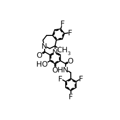 CC12CN(CCc3cc(F)c(F)cc31)C(=O)c1c(O)c(=O)c(C(=O)NCc3c(F)cc(F)cc3F)cn12